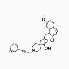 COc1ccc2ncc(Cl)c(CCCC3(C(=O)O)CCN(CC#Cc4cccnc4)CC3)c2c1